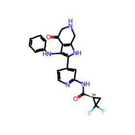 O=C1CNCc2[nH]c(-c3ccnc(NC(=O)[C@H]4CC4(F)F)c3)c(Nc3ccccc3)c21